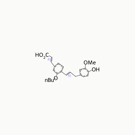 CCCCOc1cc(/C=C/C(=O)O)ccc1/C=C/Cc1ccc(O)c(OC)c1